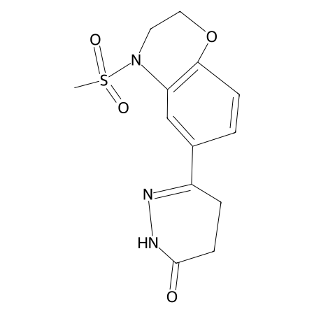 CS(=O)(=O)N1CCOc2ccc(C3=NNC(=O)CC3)cc21